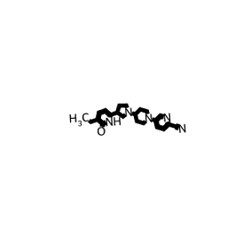 CCc1ccc(C2CCN(C3CCN(c4ccc(C#N)nc4)CC3)C2)[nH]c1=O